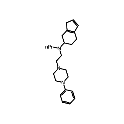 CCCN(CCN1CCN(c2ccccc2)CC1)C1CCC2=C(CC=C2)C1